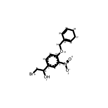 O=[N+]([O-])c1cc(C(O)CBr)ccc1OCC1=CCCC=C1